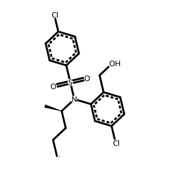 [CH2]CC[C@@H](C)N(c1cc(Cl)ccc1CO)S(=O)(=O)c1ccc(Cl)cc1